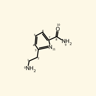 NCCc1cccc(C(N)=O)n1